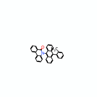 Cc1ccccc1-c1c2ccccc2c(-n2c(=O)c3ccccc3c3ccccc32)c2ccccc12